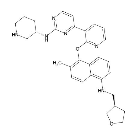 Cc1ccc2c(NC[C@H]3CCOC3)cccc2c1Oc1ncccc1-c1ccnc(N[C@H]2CCCNC2)n1